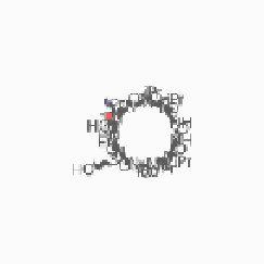 C/C=C/C[C@@H](C)[C@@H](O)[C@H]1C(=O)N[C@@H](CC)C(=O)N(C)[C@H](CSCCCCO)C(=O)N(C)[C@@H]([C@@H](C)CC)C(=O)N[C@H](C(C)C)C(=O)N(C)[C@H](CC(C)C)C(=O)N[C@H](C)C(=O)N[C@@H](C)C(=O)N(C)[C@H](CC(C)C)C(=O)N(C)[C@@H](CC(C)C)C(=O)N(C)[C@@H](C(C)C)C(=O)N1C